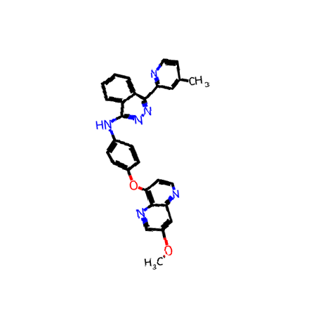 COc1cnc2c(Oc3ccc(Nc4nnc(-c5cc(C)ccn5)c5ccccc45)cc3)ccnc2c1